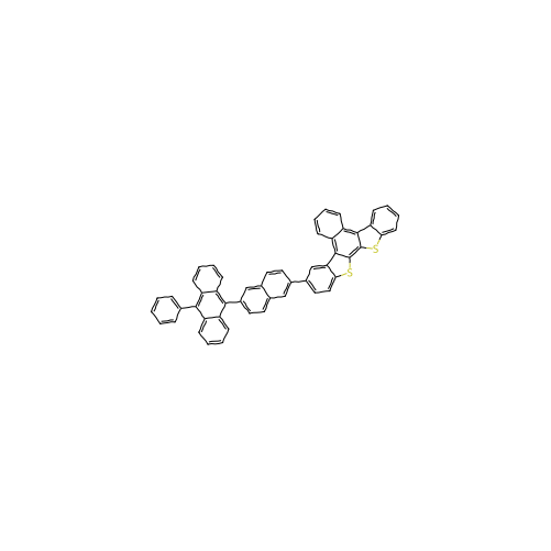 c1ccc(-c2c3ccccc3c(-c3ccc4cc(-c5ccc6sc7c8sc9ccccc9c8c8ccccc8c7c6c5)ccc4c3)c3ccccc23)cc1